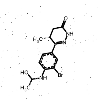 CC(O)Nc1ccc(C2=NNC(=O)C[C@H]2C)cc1Br